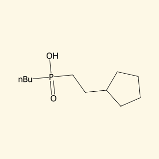 CCCCP(=O)(O)CCC1CCCC1